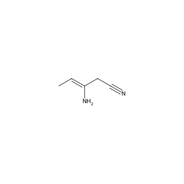 CC=C(N)CC#N